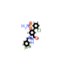 NS(=O)(=O)c1cccc(Cl)c1-c1ccc2c(c1)c(=O)[nH]n2Cc1ccc(F)c(F)c1